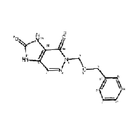 O=c1[nH]c2cnn(COCc3ccccc3)c(=O)c2[nH]1